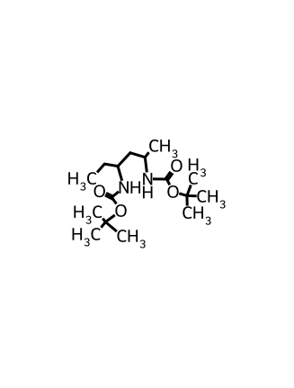 CCC(CC(C)NC(=O)OC(C)(C)C)NC(=O)OC(C)(C)C